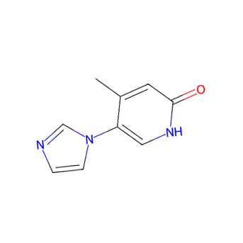 Cc1cc(=O)[nH]cc1-n1ccnc1